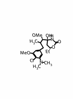 CC[C@@H]1C[C@](O)([C@H](OC)C(C)Cc2cc(OC)c(Cl)c(N(C)C)c2)NC(=O)O1